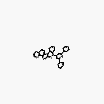 c1ccc(-c2cc(-c3nc4cnc5c(ccc6cccnc65)c4c4ccccc34)cc(-c3ccccc3)n2)cc1